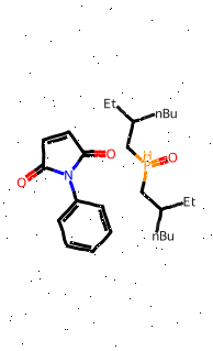 CCCCC(CC)C[PH](=O)CC(CC)CCCC.O=C1C=CC(=O)N1c1ccccc1